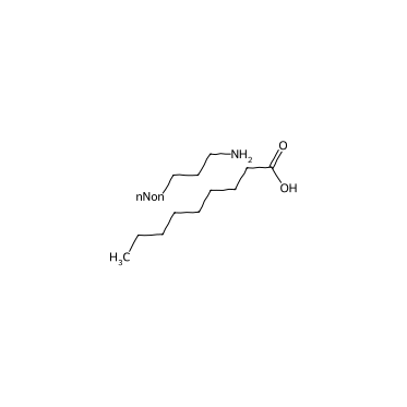 CCCCCCCCC(=O)O.CCCCCCCCCCCCN